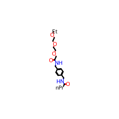 CCCC(=O)NCc1ccc(CNC(=O)COCCOCCOCC)cc1